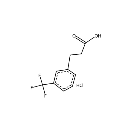 Cl.O=C(O)CCc1cccc(C(F)(F)F)c1